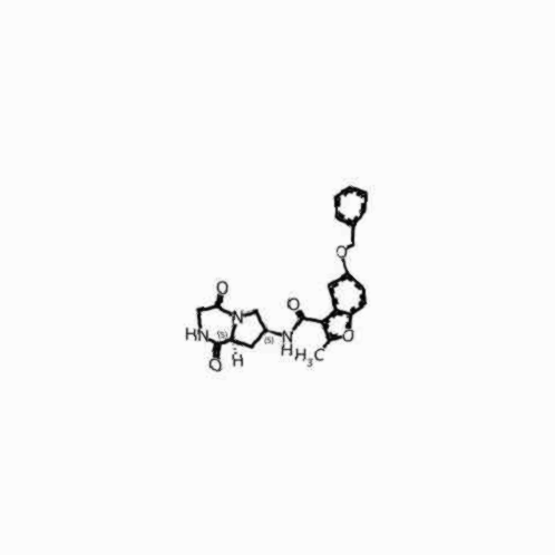 Cc1oc2ccc(OCc3ccccc3)cc2c1C(=O)N[C@H]1C[C@H]2C(=O)NCC(=O)N2C1